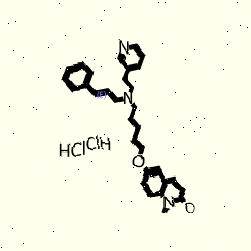 Cl.Cl.Cn1c(=O)ccc2cc(OCCCCCN(C/C=C/c3ccccc3)CCc3cccnc3)ccc21